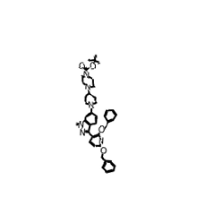 Cn1nc(-c2ccc(OCc3ccccc3)nc2OCc2ccccc2)c2ccc(N3CCC(N4CCN(C(=O)OC(C)(C)C)CC4)CC3)cc21